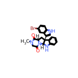 CN1CC(=O)N2[C@H]3Nc4ccccc4[C@@]3(c3c[nH]c4ccc(Br)cc34)C[C@H]2C1=O